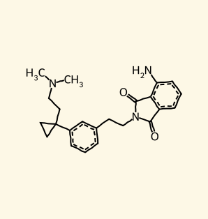 CN(C)CCC1(c2cccc(CCN3C(=O)c4cccc(N)c4C3=O)c2)CC1